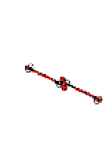 CC(C)(C)OC(=O)CCCCCCCCCCCCCCCCOc1c2ccccc2c(OCCCCCCCCCCCCCCCCC(=O)OC(C)(C)C)c2ccccc12